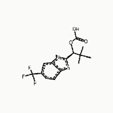 CC(C)(C)C(OC(=O)O)c1nc2cc(C(F)(F)F)ccc2s1